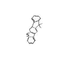 CC1(C)C2=Cc3c(sc4ccccc34)CC2c2ccccc21